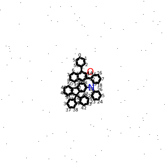 c1ccc(-c2c3ccccc3cc3c2oc2cccc(N(c4ccccc4)c4ccc5c(c4)C(c4ccccc4)(c4ccccc4)c4ccccc4-5)c23)cc1